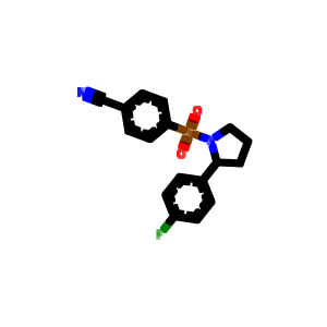 N#Cc1ccc(S(=O)(=O)N2CCCC2c2ccc(F)cc2)cc1